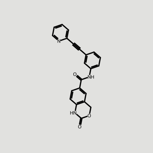 O=C1Nc2ccc(C(=O)Nc3cccc(C#Cc4ccccn4)c3)cc2CO1